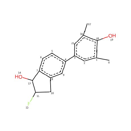 Cc1cc(-c2ccc3c(c2)CC(F)C3O)cc(C)c1O